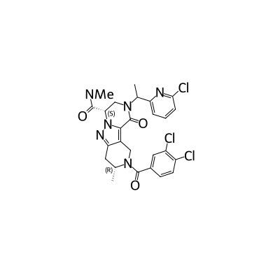 CNC(=O)[C@@H]1CN(C(C)c2cccc(Cl)n2)C(=O)c2c3c(nn21)C[C@@H](C)N(C(=O)c1ccc(Cl)c(Cl)c1)C3